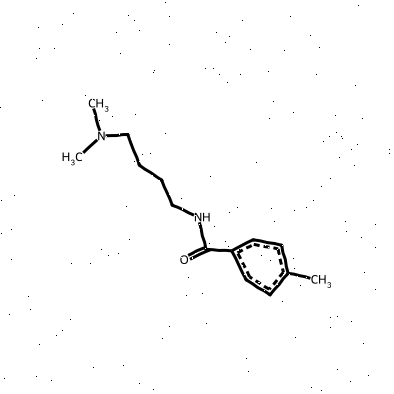 Cc1ccc(C(=O)NCCCCN(C)C)cc1